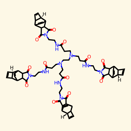 O=C(CCN(CCC(=O)NCCN1C(=O)C2C3C=CC(C2C1=O)[C@H]1C=CC31)CCN(CCC(=O)NCCN1C(=O)C2C3C=CC(C2C1=O)[C@@H]1C=CC31)CCC(=O)NCCN1C(=O)C2C3C=CC(C2C1=O)[C@H]1C=CC31)NCCN1C(=O)C2C3C=CC(C2C1=O)[C@@H]1C=CC31